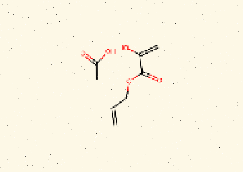 C=CCOC(=O)C(=C)O.CC(=O)O